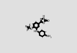 NC1CCC(Nc2cc(-c3n[nH]c(=O)o3)ccc2OC(F)(F)F)CC1